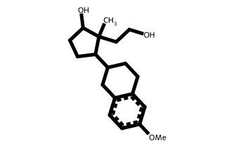 COc1ccc2c(c1)CCC(C1CCC(O)C1(C)CCO)C2